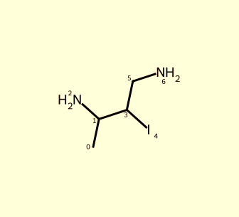 CC(N)C(I)CN